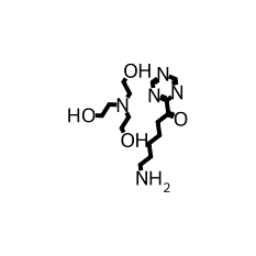 NCCCCCC(=O)c1ncncn1.OCCN(CCO)CCO